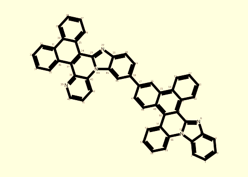 c1ccc2c(c1)nc1c3c4ccccc4c4cc(-c5ccc6nc7c8c9ccccc9c9ccccc9c8c8ncccc8n7c6c5)ccc4c3c3ccccc3n21